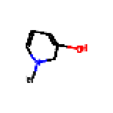 CCN1C=CC=C(O)C1